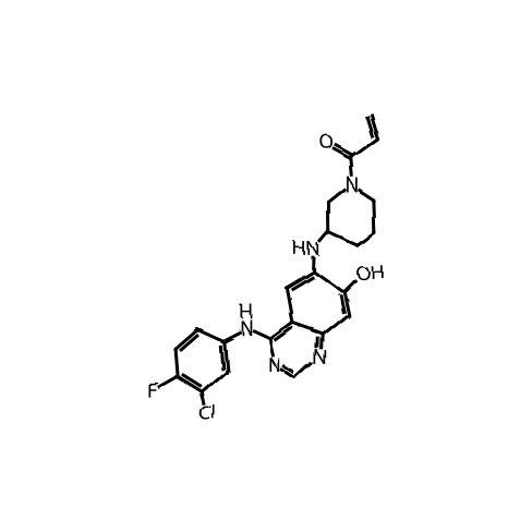 C=CC(=O)N1CCCC(Nc2cc3c(Nc4ccc(F)c(Cl)c4)ncnc3cc2O)C1